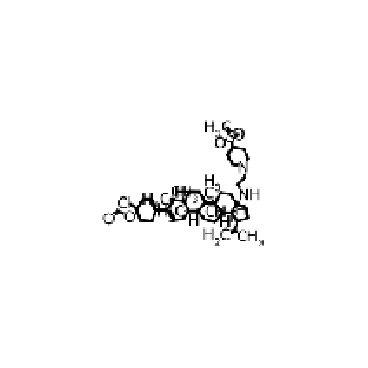 C=C(C)[C@@H]1CC[C@]2(NCCN3CCC(S(C)(=O)=O)CC3)CC[C@]3(C)[C@H](CC[C@@H]4[C@@]5(C)CC=C(C6=CCC(Cl)(OC=O)CC6)C(C)(C)[C@@H]5CC[C@]43C)[C@@H]12